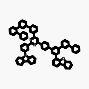 c1ccc(-c2cccc(-c3cc(-c4ccc(-c5cc(-c6cccc(-c7cccc(-c8ccccc8-c8ccccc8)c7)c6)nc(-c6cccc(-n7c8ccccc8c8ccccc87)c6)n5)cc4)cc(-c4cccc5c4oc4ccccc45)c3)c2)cc1